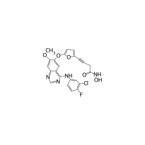 COc1cc2ncnc(Nc3ccc(F)c(Cl)c3)c2cc1Oc1ccc(C#CCC(=O)NO)o1